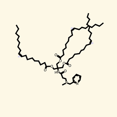 CCCCCCCC/C=C\CCCCCCCC(=O)OCC(COC(=O)CCCCCCC/C=C\CCCCCCCC)(COC(=O)CCCCCCC/C=C\CCCCCCCC)NC(=O)CCN(C)Cc1ccccn1